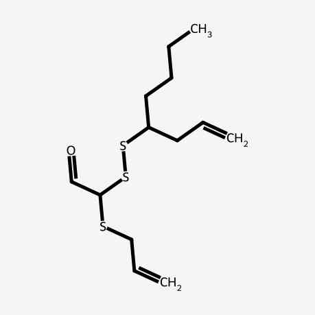 C=CCSC(C=O)SSC(CC=C)CCCC